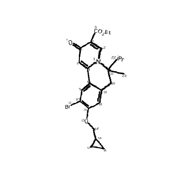 CCOC(=O)c1cn2c(cc1=O)-c1cc(Br)c(OCC3CC3)cc1CC2(C)C(C)C